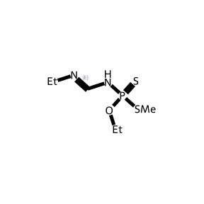 CC/N=C/NP(=S)(OCC)SC